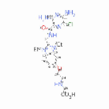 CCn1c(CNC(=O)c2nc(Cl)c(N)nc2N)[n+](CC)c2ccc(OCCNCC(=O)O)cc21